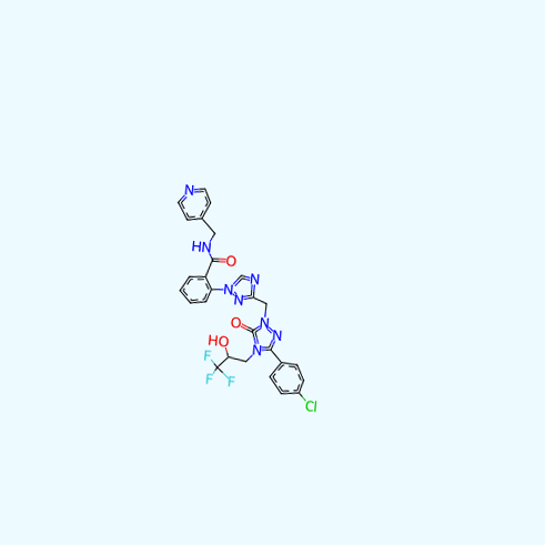 O=C(NCc1ccncc1)c1ccccc1-n1cnc(Cn2nc(-c3ccc(Cl)cc3)n(CC(O)C(F)(F)F)c2=O)n1